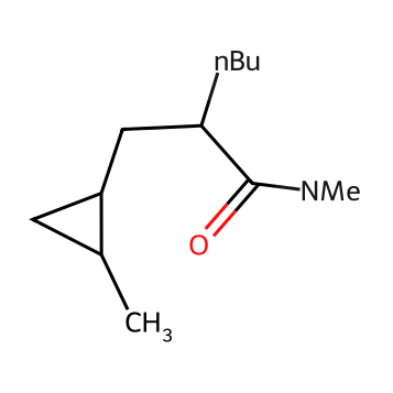 CCCCC(CC1CC1C)C(=O)NC